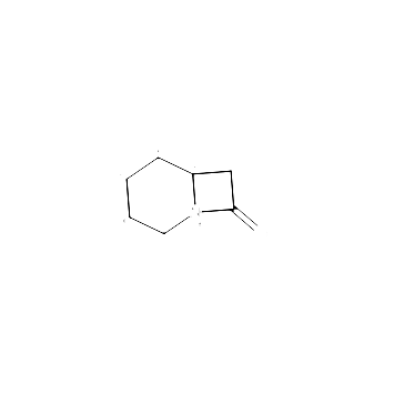 O=C1CC2CCCCN12